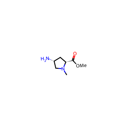 COC(=O)[C@H]1C[C@@H](N)CN1C